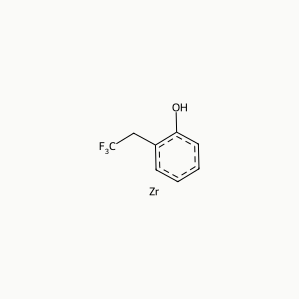 Oc1ccccc1CC(F)(F)F.[Zr]